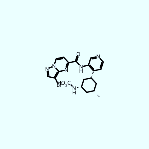 C[C@@H]1C[C@H](NC(=O)O)C[C@H](c2ccncc2NC(=O)c2ccn3ncc(Br)c3n2)C1